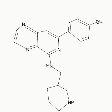 Oc1ccc(-c2cc3nccnc3c(NCC3CCCNC3)n2)cc1